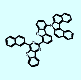 c1ccc2cc(-c3nc(-c4cccc5c4oc4cccc(-n6c7ccc8ccccc8c7c7c8ccccc8ccc76)c45)nc4c3sc3ccccc34)ccc2c1